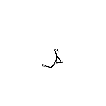 CCC[SH]1OC1C